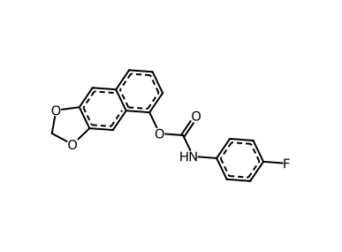 O=C(Nc1ccc(F)cc1)Oc1cccc2cc3c(cc12)OCO3